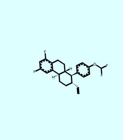 C=C[C@@H]1CC[C@H]2c3cc(F)cc(F)c3CC[C@@H]2[C@H]1c1ccc(OC(F)F)cc1